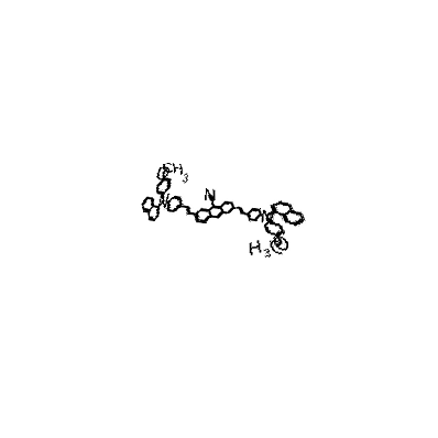 COc1ccc(N(c2ccc(C=Cc3ccc4c(C#N)c5cc(C=Cc6ccc(N(c7ccc(OC)cc7)c7cccc8ccccc78)cc6)ccc5cc4c3)cc2)c2cccc3ccccc23)cc1